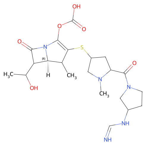 CC(O)C1C(=O)N2C(OC(=O)O)=C(SC3CC(C(=O)N4CCC(NC=N)C4)N(C)C3)C(C)[C@@H]12